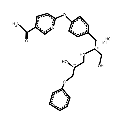 Cl.Cl.NC(=O)c1ccc(Oc2ccc(C[C@@H](CO)NC[C@H](O)COc3ccccc3)cc2)nc1